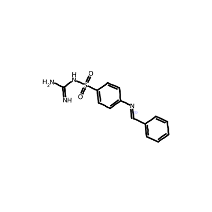 N=C(N)NS(=O)(=O)c1ccc(/N=C/c2ccccc2)cc1